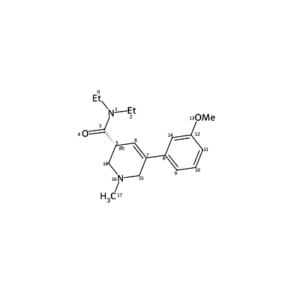 CCN(CC)C(=O)[C@@H]1C=C(c2cccc(OC)c2)CN(C)C1